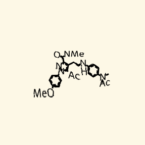 CNC(=O)c1nn(-c2ccc(OC)cc2)c(C(C)=O)c1CCNc1ccc(N(C)C(C)=O)cc1